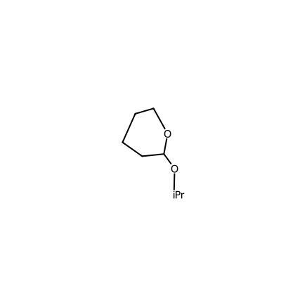 [CH2]C(C)OC1CCCCO1